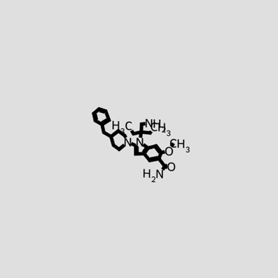 CCC(CC)(CN)n1c(N2CCC(Cc3ccccc3)CC2)cc2cc(C(N)=O)c(OC)cc21